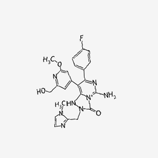 COc1cc(-c2c(-c3ccc(F)cc3)nc(N)[n+]3c(=O)n(Cc4nccn4C)[nH]c23)cc(CO)n1